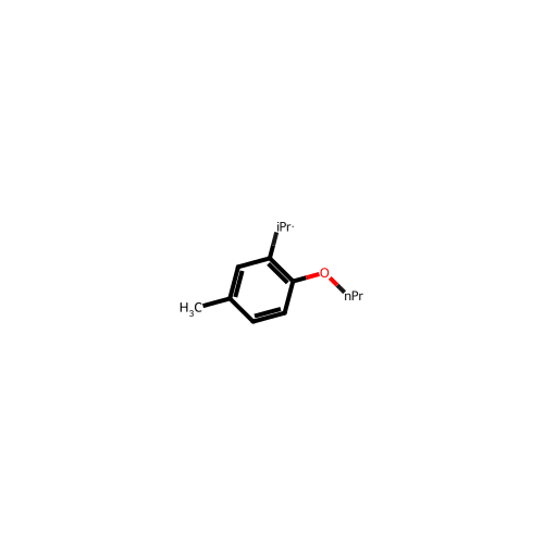 CCCOc1ccc(C)cc1[C](C)C